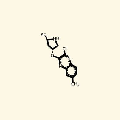 CC(=O)[C@@H]1C[C@@H](Oc2nc3cc(C)ccc3nc2Cl)CN1